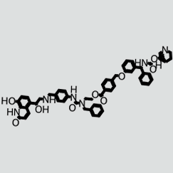 O=C(NC(c1ccccc1)c1cccc(OCc2ccc(C(=O)OCCN(Cc3ccccc3)C(=O)Nc3ccc(CNCC(O)c4ccc(O)c5[nH]c(=O)ccc45)cc3)cc2)c1)O[C@H]1CN2CCC1CC2